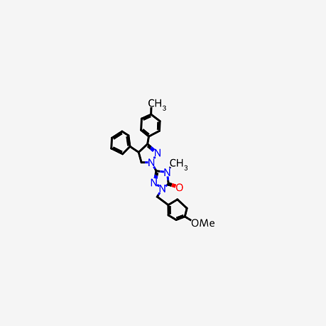 COC1=CC=C(Cn2nc(N3CC(c4ccccc4)C(c4ccc(C)cc4)=N3)n(C)c2=O)CC1